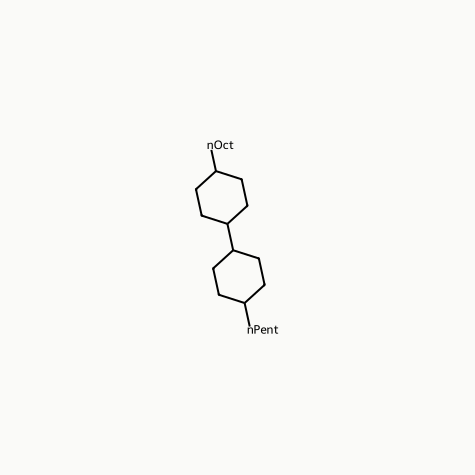 CCCCCCCCC1CCC(C2CCC(CCCCC)CC2)CC1